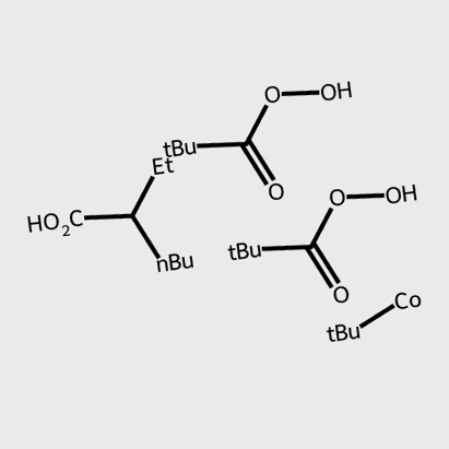 CC(C)(C)C(=O)OO.CC(C)(C)C(=O)OO.CCCCC(CC)C(=O)O.C[C](C)(C)[Co]